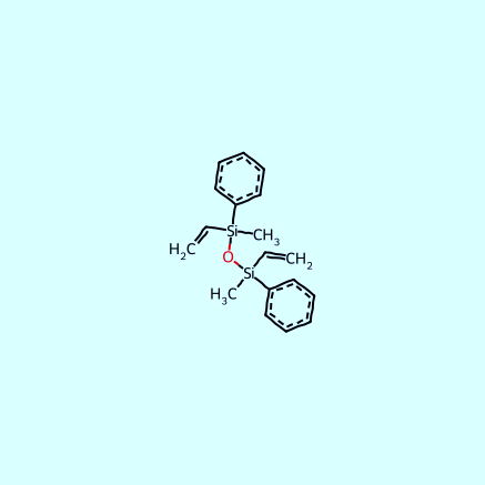 C=C[Si](C)(O[Si](C)(C=C)c1ccccc1)c1ccccc1